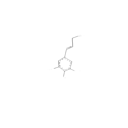 CCCCCCCCCC/C=C/c1cc(C=O)c(O)c(C=O)c1